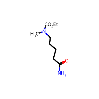 CCOC(=O)N(C)CCCCC(N)=O